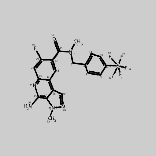 CN(Cc1ccc(S(F)(F)(F)(F)F)cc1)C(=O)c1cc2c(cc1F)nc(N)c1c2cnn1C